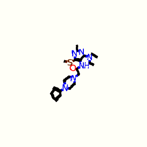 CCN(CC)c1nc(C)nc(SC)c1NC(=O)CN1CCN(c2ccccc2)CC1